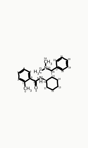 Cc1ccccc1C(=O)N[C@@H]1CCCC[C@H]1C(c1ccccc1)N(C)C